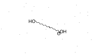 O=C(O)CCCCC/C=C/CCCCCCCCO